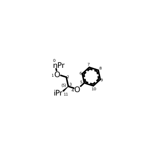 CCCOC[C@@H](Oc1ccccc1)C(C)C